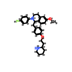 COc1ccc2c(c1)CCN(c1ccc(F)cc1)C2Cc1ccc(OCCC2CCCCN2)cc1